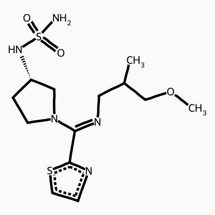 COCC(C)C/N=C(/c1nccs1)N1CC[C@H](NS(N)(=O)=O)C1